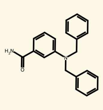 NC(=O)c1cccc(N(Cc2ccccc2)Cc2ccccc2)c1